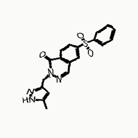 Cc1cc(Cn2ncc3cc(S(=O)(=O)c4ccccc4)ccc3c2=O)n[nH]1